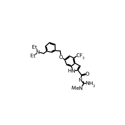 CCN(CC)Cc1cccc(COc2cc(C(F)(F)F)c3cc(C(=O)N=C(N)NC)[nH]c3c2)c1